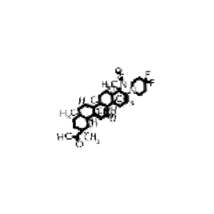 C[C@]1(C(=O)O)CC[C@]2(C)CC[C@]3(C)C(=CC(=O)[C@@H]4[C@@]5(C)CC[C@H](N6CCC(F)(F)CC6)[C@@](C)(N=C=O)[C@@H]5CC[C@]43C)[C@@H]2C1